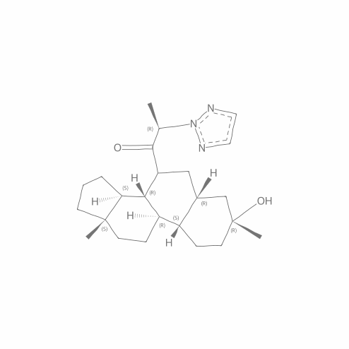 C[C@H](C(=O)C1C[C@@H]2C[C@](C)(O)CC[C@@H]2[C@H]2CC[C@]3(C)CCC[C@H]3[C@H]12)n1nccn1